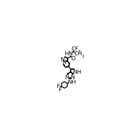 CC(NC(=O)c1cnn2ccc(-c3c[nH]c4nc(NC5CCC(F)(F)CC5)ncc34)cc12)C(F)(F)F